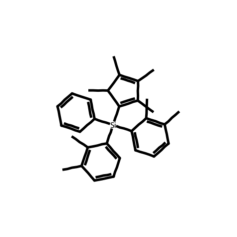 CC1=C(C)C(C)C([Si](c2ccccc2)(c2cccc(C)c2C)c2cccc(C)c2C)=C1C